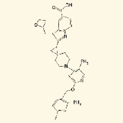 Cc1ccc(COc2ncc(P)c(N3CCC4(CC3)CC4c3nc4ccc(C(=O)O)cc4n3CC3CCO3)n2)c(P)c1